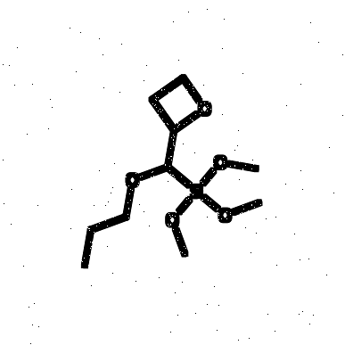 CCCOC(C1CCO1)[Si](OC)(OC)OC